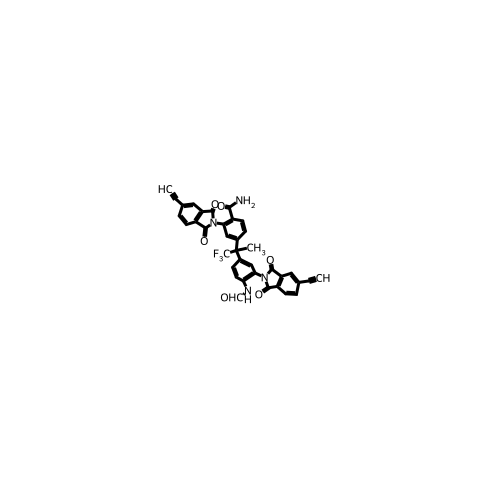 C#Cc1ccc2c(c1)C(=O)N(c1cc(C(C)(c3ccc(C(N)=O)c(N4C(=O)c5ccc(C#C)cc5C4=O)c3)C(F)(F)F)ccc1NC=O)C2=O